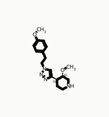 COc1ccc(CCn2cc([C@@H]3CCNC[C@H]3OC)nn2)cc1